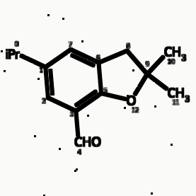 CC(C)c1cc(C=O)c2c(c1)CC(C)(C)O2